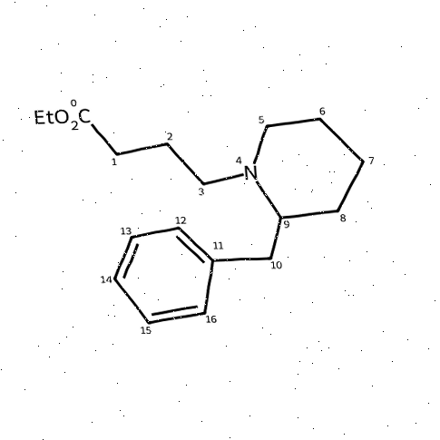 CCOC(=O)CCCN1CCCCC1Cc1ccccc1